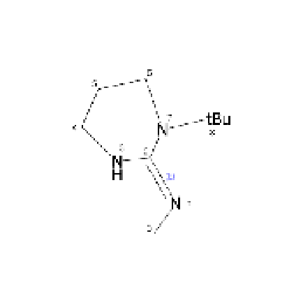 C/N=C1\NCCCN1C(C)(C)C